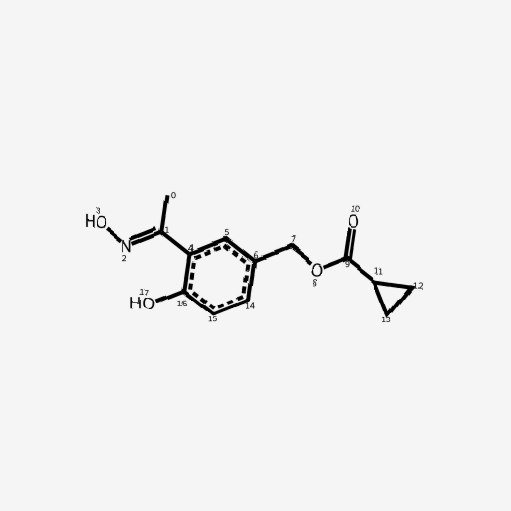 CC(=NO)c1cc(COC(=O)C2CC2)ccc1O